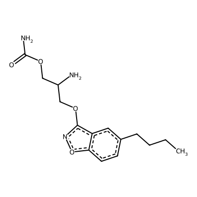 CCCCc1ccc2onc(OCC(N)COC(N)=O)c2c1